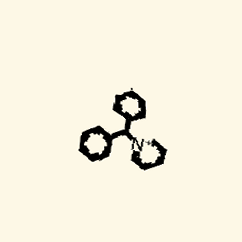 [c]1ccc(C(c2ccccc2)[n+]2ccccc2)cc1